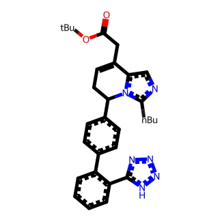 CCCCc1ncc2n1C(c1ccc(-c3ccccc3-c3nnn[nH]3)cc1)CC=C2CC(=O)OC(C)(C)C